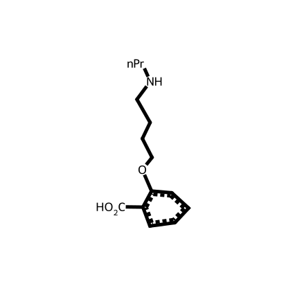 CCCNCCCCOc1ccccc1C(=O)O